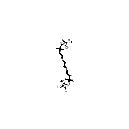 CC(C)(CCOCCOCCC(C)(C)OP(=O)(O)O)OP(=O)(O)O